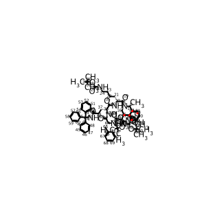 CC1CC(NC(=O)OC(C)(C)C)(C(=O)O)CCN1C(=O)[C@@H](CCCCNC(=O)OC(C)(C)C)NC(=O)[C@@H](CCC(=O)NC(c1ccccc1)(c1ccccc1)c1ccccc1)NC(=O)[C@@H](Cc1ccccc1)NC(=O)[C@@H](Cc1ccccc1)NC(=O)OC(C)(C)C